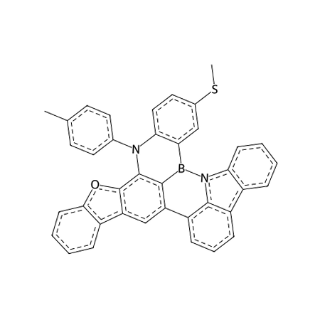 CSc1ccc2c(c1)B1c3c(cc4c(oc5ccccc54)c3N2c2ccc(C)cc2)-c2cccc3c4ccccc4n1c23